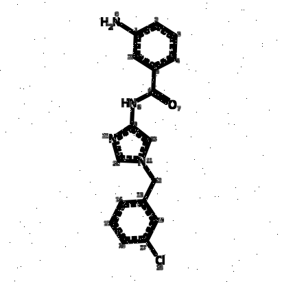 Nc1cccc(C(=O)Nc2cn(Cc3cccc(Cl)c3)cn2)c1